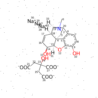 CN1CC[C@]23c4c5ccc(O)c4O[C@H]2[C@@H](O)C=C[C@H]3[C@H]1C5.O=C([O-])CC(O)(CC(=O)[O-])C(=O)[O-].[Na+].[Na+].[Na+]